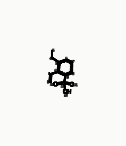 C=Cc1c(CC)cccc1S(=O)(=O)O